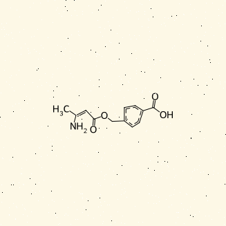 CC(N)=CC(=O)OCc1ccc(C(=O)O)cc1